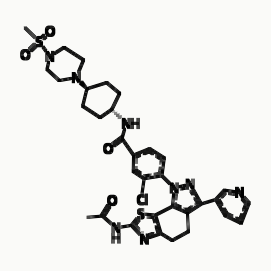 CC(=O)Nc1nc2c(s1)-c1c(c(-c3cccnc3)nn1-c1ccc(C(=O)N[C@H]3CC[C@H](N4CCN(S(C)(=O)=O)CC4)CC3)cc1Cl)CC2